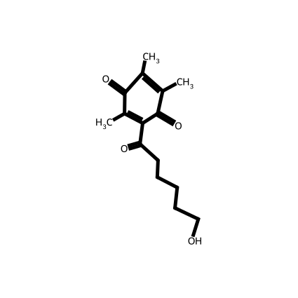 CC1=C(C)C(=O)C(C(=O)CCCCCO)=C(C)C1=O